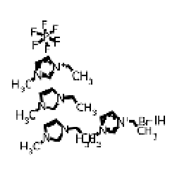 CCN1C=CN(C)C1.CCN1C=CN(C)C1.CC[n+]1ccn(C)c1.CC[n+]1ccn(C)c1.F[P-](F)(F)(F)(F)F.I.[Br-]